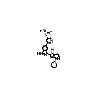 CCCCC(=O)Nc1cncc(-c2ccc3[nH]nc(-c4cc5c(N6CCCCC6)nccc5[nH]4)c3c2)c1